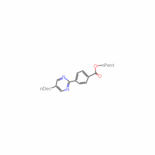 CCCCCCCCCCc1cnc(-c2ccc(C(=O)OCCCCC)cc2)nc1